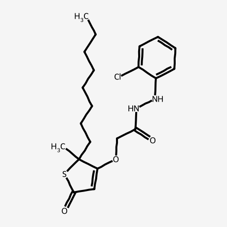 CCCCCCCCC1(C)SC(=O)C=C1OCC(=O)NNc1ccccc1Cl